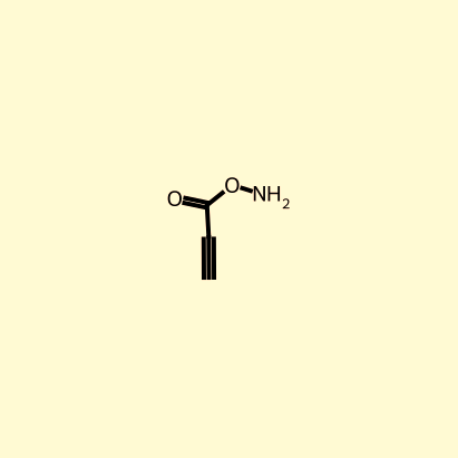 C#CC(=O)ON